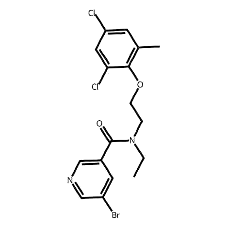 CCN(CCOc1c(C)cc(Cl)cc1Cl)C(=O)c1cncc(Br)c1